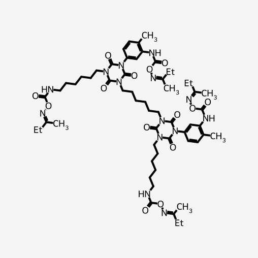 CC/C(C)=N\OC(=O)Nc1cc(-n2c(=O)n(CCCCCCNC(=O)O/N=C(\C)CC)c(=O)n(CCCCCCn3c(=O)n(CCCCCCNC(=O)O/N=C(\C)CC)c(=O)n(-c4ccc(C)c(NC(=O)O/N=C(\C)CC)c4)c3=O)c2=O)ccc1C